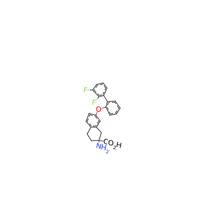 NC1(C(=O)O)CCc2ccc(Oc3ccccc3-c3cccc(F)c3F)cc2C1